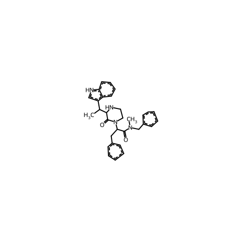 CC(c1c[nH]c2ccccc12)C1NCCN(C(Cc2ccccc2)C(=O)N(C)Cc2ccccc2)C1=O